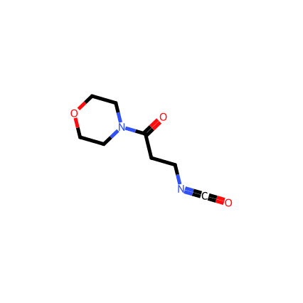 O=C=NCCC(=O)N1CCOCC1